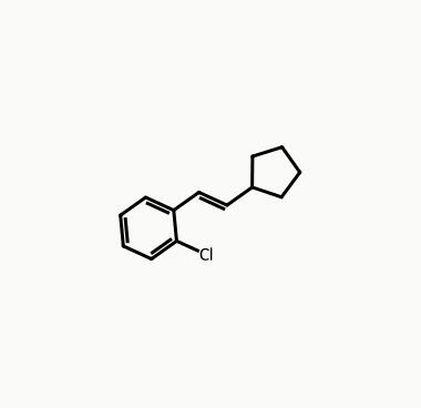 Clc1ccccc1C=CC1CCCC1